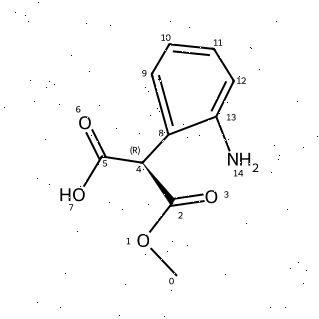 COC(=O)[C@@H](C(=O)O)c1ccccc1N